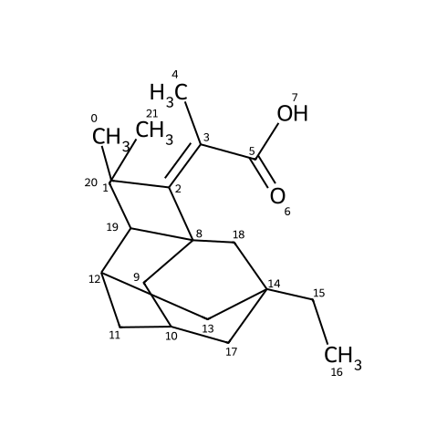 CCC(=C(C)C(=O)O)C12CC3CC(CC(CC)(C3)C1)C2CC